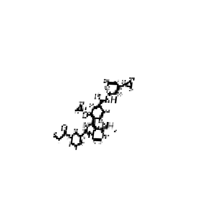 CCC(=O)N1CCCC(c2nc(-c3ccc(C(=O)Nc4cc(C5CC5)ccn4)cc3OC3CC3)c3c(N)nccn23)C1